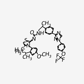 COc1ccc(-n2c(C)cs/c2=N\C(=O)NCC(C)c2ccc(-c3ncn(-c4ccc(OC(F)(F)F)cc4)n3)cc2)c(C(C)C)c1